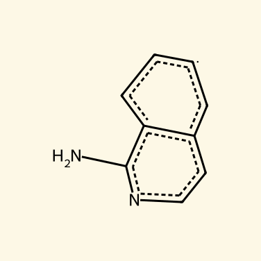 Nc1nccc2c[c]ccc12